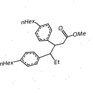 CCCCCCc1ccc(C(CC)C(CC(=O)OC)c2ccc(CCCCCC)cc2)cc1